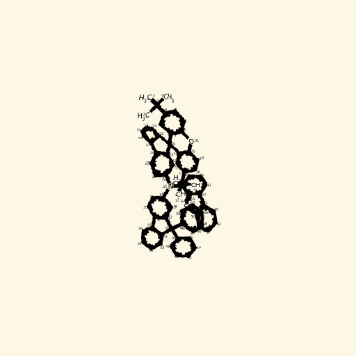 CC(C)(C)c1ccc2c(c1)C1(c3cc(C(C)(C)C)ccc3O2)c2ccccc2-c2ccc(N(c3ccc4c(c3)C(c3ccccc3)(c3ccccc3)c3ccccc3-4)c3cccc4c3sc3ccccc34)cc21